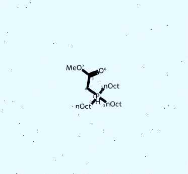 CCCCCCCC[PH](CCCCCCCC)(CCCCCCCC)CC(=O)OC